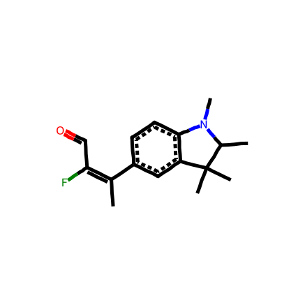 C/C(=C(\F)C=O)c1ccc2c(c1)C(C)(C)C(C)N2C